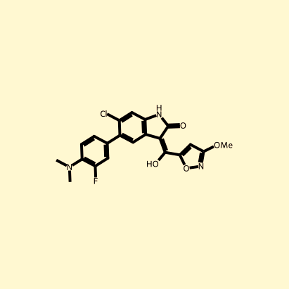 COc1cc(C(O)=C2C(=O)Nc3cc(Cl)c(-c4ccc(N(C)C)c(F)c4)cc32)on1